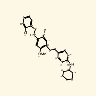 COc1cc(NSc2ccccc2Cl)c(F)cc1CCc1cnc(NC2CCCCC2)nc1